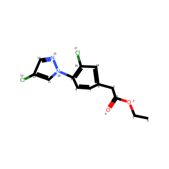 CCOC(=O)Cc1ccc(-n2cc(Cl)cn2)c(Cl)c1